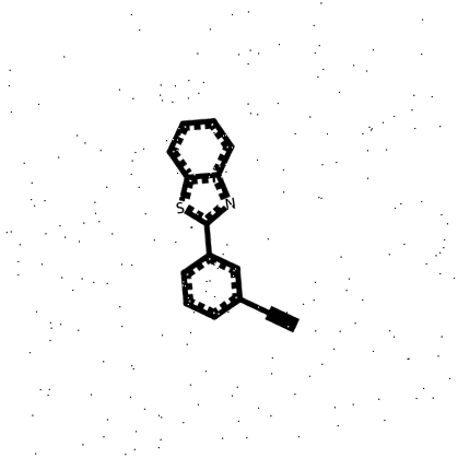 C#Cc1cccc(-c2nc3ccccc3s2)c1